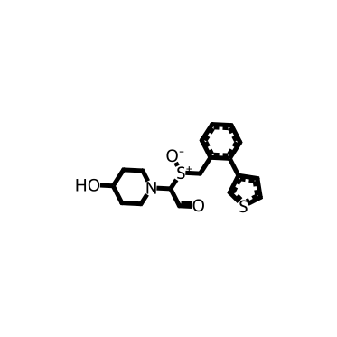 O=CC(N1CCC(O)CC1)[S+]([O-])Cc1ccccc1-c1ccsc1